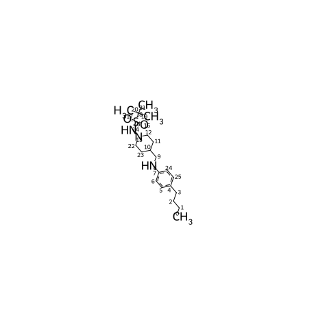 CCCCc1ccc(NCC2CCN(NS(=O)(=O)C(C)(C)C)CC2)cc1